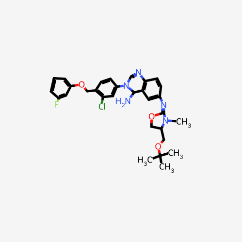 CN1C(=Nc2ccc3c(c2)C(N)N(c2ccc(COc4cccc(F)c4)c(Cl)c2)C=N3)OCC1COC(C)(C)C